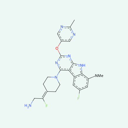 CNc1cc(F)cc2c1[nH]c1nc(Oc3cnc(C)nc3)nc(N3CCC(=C(F)CN)CC3)c12